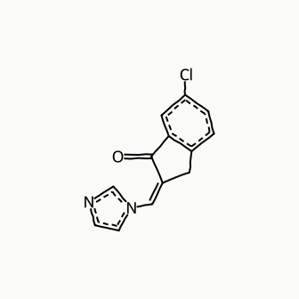 O=C1C(=Cn2ccnc2)Cc2ccc(Cl)cc21